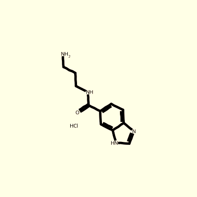 Cl.NCCCNC(=O)c1ccc2nc[nH]c2c1